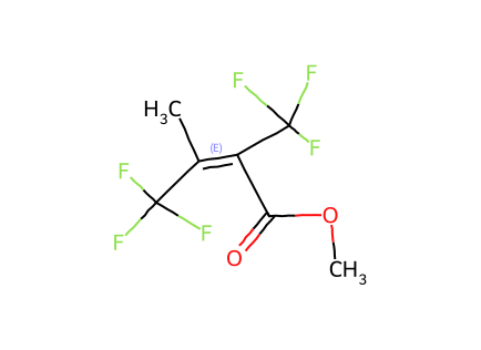 COC(=O)/C(=C(/C)C(F)(F)F)C(F)(F)F